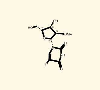 CO[C@@H]1[C@H](O)[C@@H](CO)O[C@H]1n1cc(F)c(=O)[nH]c1=O